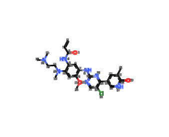 C=CC(=O)Nc1cc(Nc2ncc(Cl)c(-c3c[nH]c(=O)c(C)c3)n2)c(OC)cc1N(C)CCN(C)C